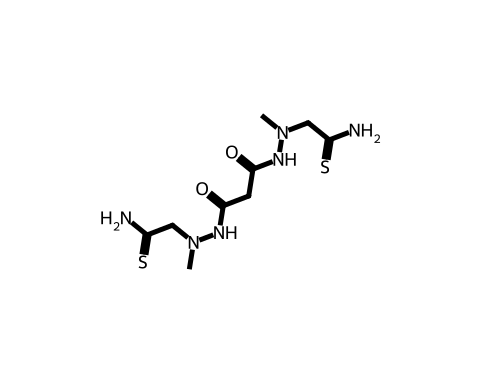 CN(CC(N)=S)NC(=O)CC(=O)NN(C)CC(N)=S